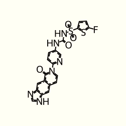 O=C(Nc1ccc(-n2ccc3cc4[nH]cnc4cc3c2=O)nc1)NS(=O)(=O)c1ccc(F)s1